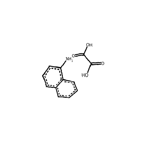 Nc1cccc2ccccc12.O=C(O)C(=O)O